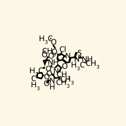 C=C[C@@H]1CC1(NC(=O)[C@@H]1C[C@@H](Oc2cc(-c3csc(NC(C)C)n3)nc3c(Cl)c(OCCOC)ccc23)CN1C(=O)[C@@H](NC(=O)O[C@H]1CC[C@@H](C)C1)C(C)(C)C)C(=O)OC